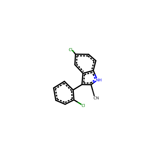 N#Cc1[nH]c2ccc(Cl)cc2c1-c1ccccc1Cl